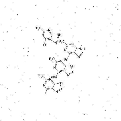 CC(C)c1nc(C(F)(F)F)nc2[nH]cnc12.CCCCc1nc(C(F)(F)F)nc2[nH]cnc12.CCc1nc(C(F)(F)F)nc2[nH]cnc12.Cc1nc(C(F)(F)F)nc2[nH]cnc12